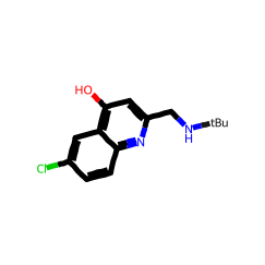 CC(C)(C)NCc1cc(O)c2cc(Cl)ccc2n1